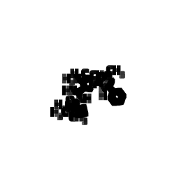 COCC(NC(=O)N1CC(C(=N)NC(=O)C2(S(C)(C)C)CCC2)=C(N)C1(C)C)c1ccccc1